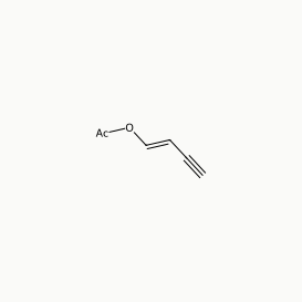 C#CC=COC(C)=O